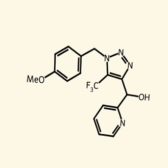 COc1ccc(Cn2nnc(C(O)c3ccccn3)c2C(F)(F)F)cc1